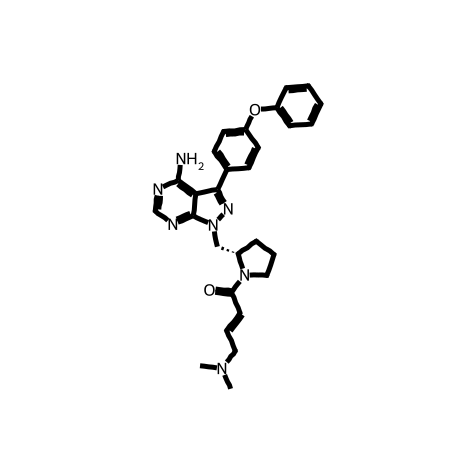 CN(C)CC=CC(=O)N1CCC[C@H]1Cn1nc(-c2ccc(Oc3ccccc3)cc2)c2c(N)ncnc21